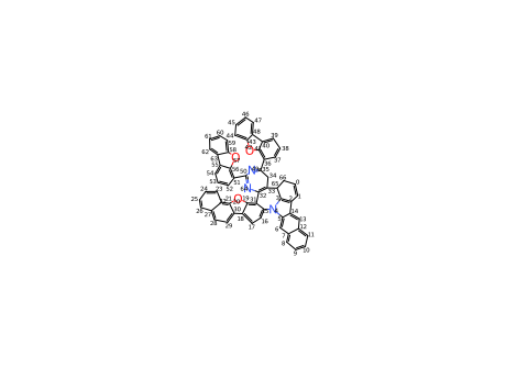 C1=Cc2c3n(c4cc5ccccc5cc24)-c2ccc4c(oc5c6ccccc6ccc45)c2C2=C(CC(c4cccc5c4oc4ccccc45)=NC(c4cccc5c4oc4ccccc45)=N2)C3C1